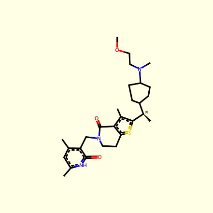 COCCN(C)C1CCC([C@@H](C)c2sc3c(c2C)C(=O)N(Cc2c(C)cc(C)[nH]c2=O)CC3)CC1